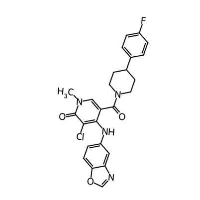 Cn1cc(C(=O)N2CCC(c3ccc(F)cc3)CC2)c(Nc2ccc3ocnc3c2)c(Cl)c1=O